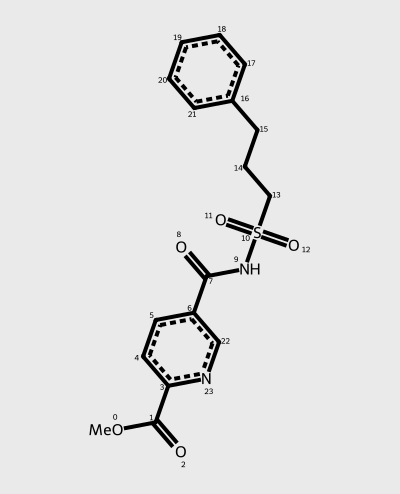 COC(=O)c1ccc(C(=O)NS(=O)(=O)CCCc2ccccc2)cn1